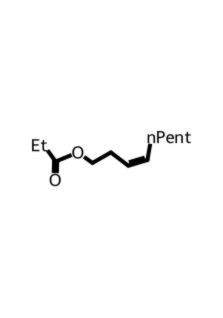 CCCCC/C=C\CCOC(=O)CC